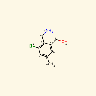 Cc1cc(Cl)c(CN)c(CO)c1